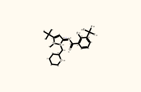 Cn1c(C(C)(C)C)c/c(=N/C(=O)c2cccc(C(F)(F)F)c2F)n1CC1CCCCO1